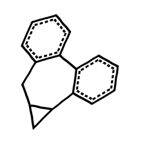 c1ccc2c(c1)CC1CC1c1ccccc1-2